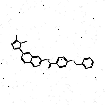 Cc1ncc(-c2ccc3cnc(NC(=O)c4ccc(OCc5ccccc5)cc4)cc3c2)n1C